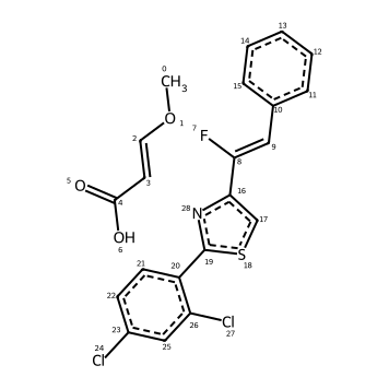 COC=CC(=O)O.FC(=Cc1ccccc1)c1csc(-c2ccc(Cl)cc2Cl)n1